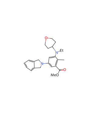 CCN(c1cc(N2Cc3ccccc3C2)cc(C(=O)OC)c1C)C1CCOCC1